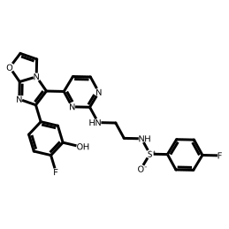 [O-][S+](NCCNc1nccc(-c2c(-c3ccc(F)c(O)c3)nc3occn23)n1)c1ccc(F)cc1